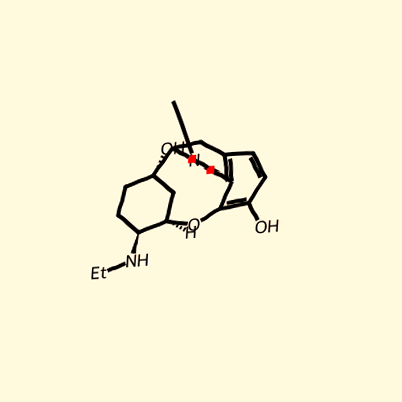 CCN[C@H]1CC[C@]2(O)C[C@H]1Oc1c(O)ccc3c1CCCN(C)C2C3